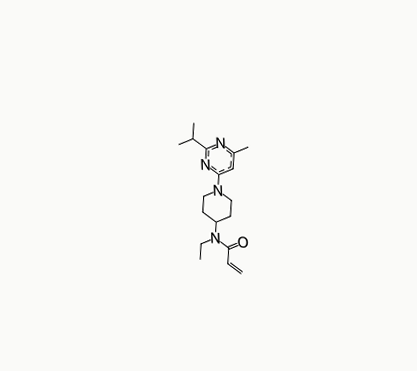 C=CC(=O)N(CC)C1CCN(c2cc(C)nc(C(C)C)n2)CC1